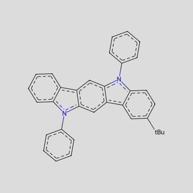 CC(C)(C)c1ccc2c(c1)c1cc3c(cc1n2-c1ccccc1)c1ccccc1n3-c1ccccc1